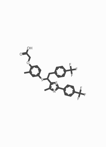 Cc1cc(SC(Cc2ccc(C(F)(F)F)cc2)c2sc(-c3ccc(C(F)(F)F)cc3)nc2C)ccc1OCC(=O)O